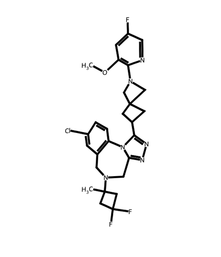 COc1cc(F)cnc1N1CC2(CC(c3nnc4n3-c3ccc(Cl)cc3CN(C3(C)CC(F)(F)C3)C4)C2)C1